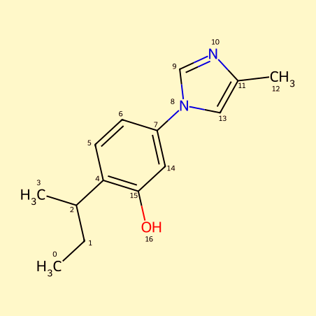 CCC(C)c1ccc(-n2cnc(C)c2)cc1O